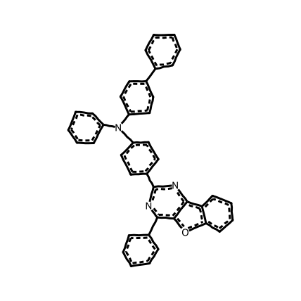 c1ccc(-c2ccc(N(c3ccccc3)c3ccc(-c4nc(-c5ccccc5)c5oc6ccccc6c5n4)cc3)cc2)cc1